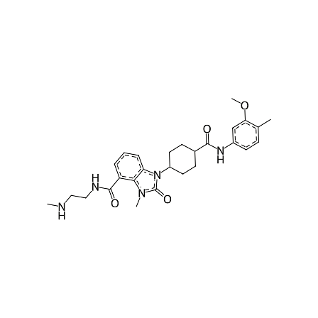 CNCCNC(=O)c1cccc2c1n(C)c(=O)n2C1CCC(C(=O)Nc2ccc(C)c(OC)c2)CC1